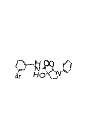 O=C(NCc1cccc(Br)c1)[C@@]1(O)CCN(c2ccccc2)C1=O